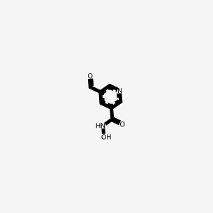 O=Cc1cncc(C(=O)NO)c1